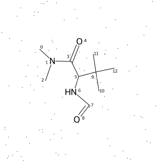 CN(C)C(=O)C(N[C]=O)C(C)(C)C